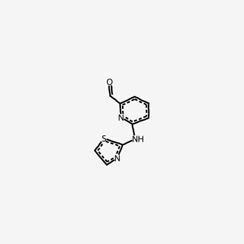 O=Cc1cccc(Nc2nccs2)n1